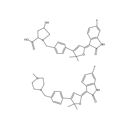 CC1(C)OC(=C2C(=O)Nc3cc(F)ccc32)C=C1c1ccc(CN2CC(O)CC2C(=O)O)cc1.CN1CCN(Cc2ccc(C3=CC(=C4C(=O)Nc5cc(F)ccc54)OC3(C)C)cc2)CC1